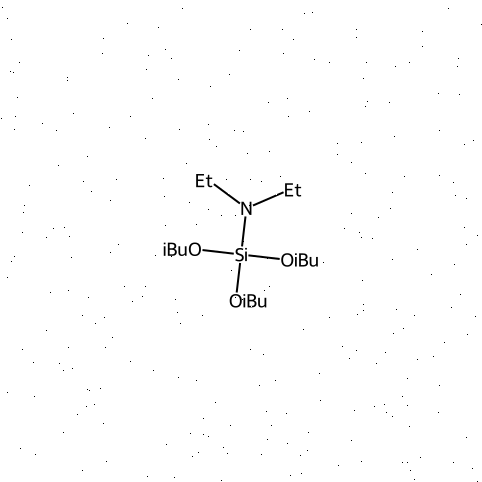 CCN(CC)[Si](OCC(C)C)(OCC(C)C)OCC(C)C